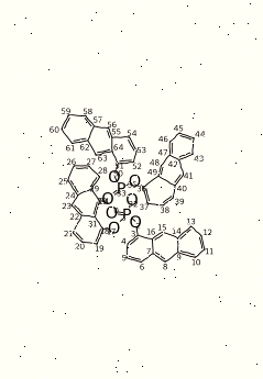 O=P(Oc1cccc2cc3ccccc3cc12)(Oc1cccc2cc3ccccc3cc12)OP(=O)(Oc1cccc2cc3ccccc3cc12)Oc1cccc2cc3ccccc3cc12